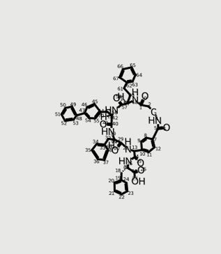 O=C1CCNC(=O)c2ccc(cc2)C(C(=O)N[C@@H](Cc2ccccc2)C(=O)O)NC(=O)[C@@H](Cc2ccccc2)NC(=O)[C@H](Cc2ccc(-c3ccccc3)cc2)NC(=O)[C@@H](CCc2ccccc2)N1